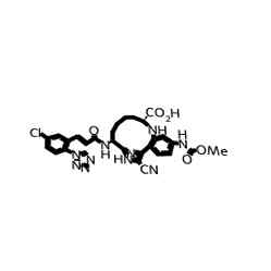 COC(=O)Nc1ccc2c(c1)N[C@@H](C(=O)O)CCCC[C@H](NC(=O)/C=C/c1cc(Cl)ccc1-n1cnnn1)c1nc-2c(C#N)[nH]1